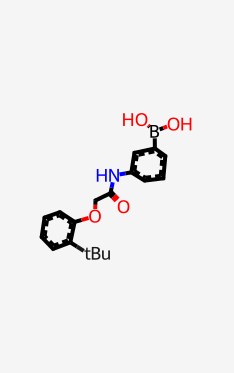 CC(C)(C)c1ccccc1OCC(=O)Nc1cccc(B(O)O)c1